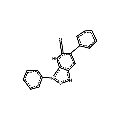 O=c1[nH]c2c(cc1-c1ccccc1)nnn2-c1ccccc1